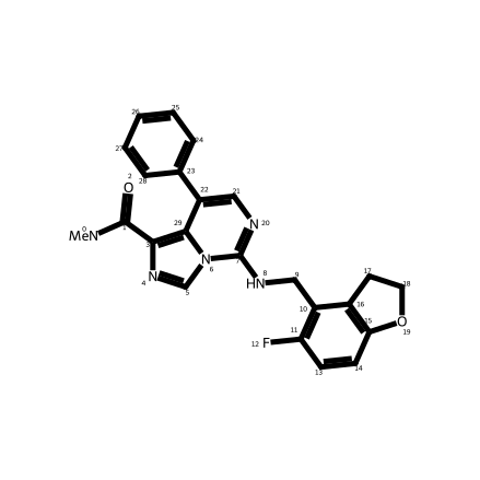 CNC(=O)c1ncn2c(NCc3c(F)ccc4c3CCO4)ncc(-c3ccccc3)c12